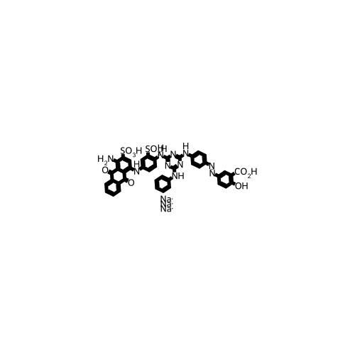 Nc1c(S(=O)(=O)O)cc(Nc2ccc(Nc3nc(Nc4ccccc4)nc(Nc4ccc(N=Nc5ccc(O)c(C(=O)O)c5)cc4)n3)c(S(=O)(=O)O)c2)c2c1C(=O)c1ccccc1C2=O.[Na].[Na].[Na]